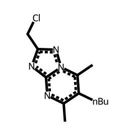 CCCCc1c(C)nc2nc(CCl)nn2c1C